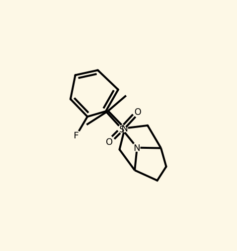 CC(C)N1CC2CCC(C1)N2S(=O)(=O)c1ccccc1F